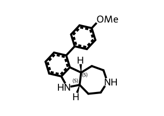 COc1ccc(-c2cccc3c2[C@@H]2CCNCC[C@@H]2N3)cc1